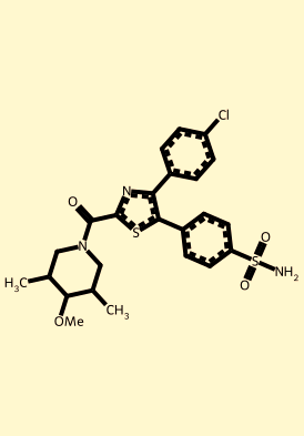 COC1C(C)CN(C(=O)c2nc(-c3ccc(Cl)cc3)c(-c3ccc(S(N)(=O)=O)cc3)s2)CC1C